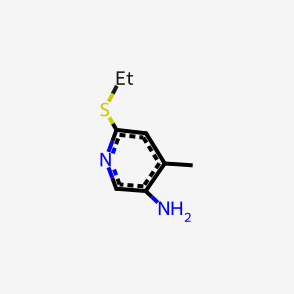 CCSc1cc(C)c(N)cn1